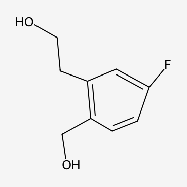 OCCc1cc(F)ccc1CO